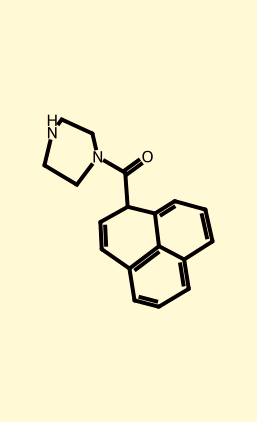 O=C(C1C=Cc2cccc3cccc1c23)N1CCNCC1